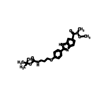 CON(C)C(=O)c1ccc2nc(-c3ccc(OCCCNC(=O)OC(C)(C)C)cc3)[nH]c2c1